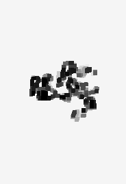 Cc1cccc(C)c1-c1cc(OC2CCN(C(=O)c3cccnc3O)C2)nc(NS(=O)(=O)c2cnn(C)c2)n1